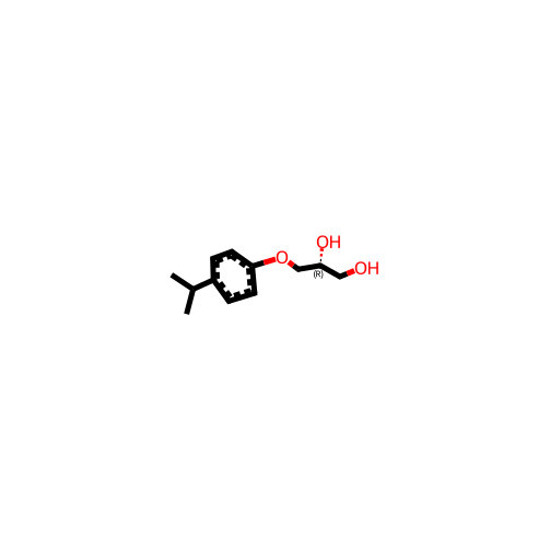 CC(C)c1ccc(OC[C@H](O)CO)cc1